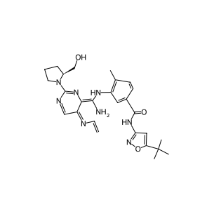 C=C/N=C1/C=NC(N2CCC[C@H]2CO)=N/C1=C(/N)Nc1cc(C(=O)Nc2cc(C(C)(C)C)on2)ccc1C